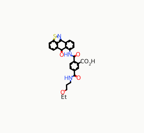 CCOCCCNC(=O)c1ccc(C(=O)Nc2cccc3c2C(=O)c2cccc4snc-3c24)c(C(=O)O)c1